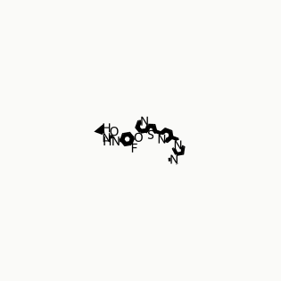 CN(C)C1CCN(Cc2ccc(-c3cc4nccc(Oc5ccc(NC(=O)NC6CC6)cc5F)c4s3)nc2)C1